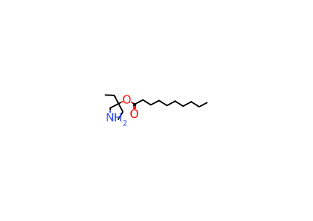 CCCCCCCCCC(=O)OC(CC)(CC)CN